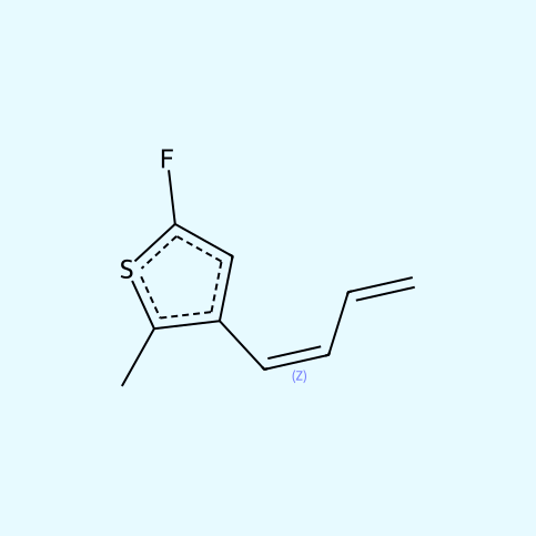 C=C/C=C\c1cc(F)sc1C